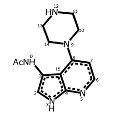 CC(=O)Nc1c[nH]c2nccc(N3CCNCC3)c12